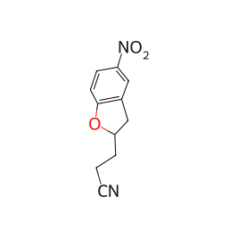 N#CCCC1Cc2cc([N+](=O)[O-])ccc2O1